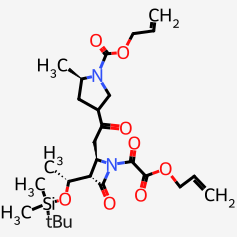 C=CCOC(=O)C(=O)N1C(=O)[C@H]([C@@H](C)O[Si](C)(C)C(C)(C)C)[C@H]1CC(=O)C1C[C@@H](C)N(C(=O)OCC=C)C1